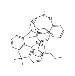 CCCc1ccc(C(C)(C)C)cc1-c1cccc(C2=C3\CC\C(=C/C(c4ccccc4-c4ccccn4)=C\2)c2ccccc2OP3)c1C